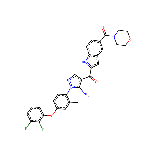 Cc1cc(Oc2cccc(F)c2F)ccc1-n1ncc(C(=O)c2cc3cc(C(=O)N4CCOCC4)ccc3[nH]2)c1N